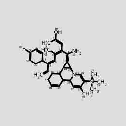 C=CC(=CC(C)=C(/C=C(\C)O)/C(N)=C1\C2C3CCC=CC3C3C=C(C)C([Si](C)(C)C)=CN3C12)C1C=CC(F)=CC1